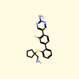 NCC1(Sc2ccccc2-c2ccc(-c3cnc(N)nc3)c(F)c2)CCCC1